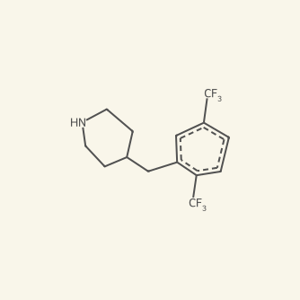 FC(F)(F)c1ccc(C(F)(F)F)c(CC2CCNCC2)c1